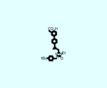 CCn1c(CC2CC2c2ccc(-c3cccc(CC(=O)O)c3)cc2)nn(Cc2ccc(C(C)(C)C)cc2)c1=O